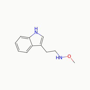 CONCCc1c[nH]c2ccccc12